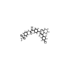 CCS(=O)(=O)c1ccc(CC(=O)Nc2ccc(C(=O)N(C)[C@@H](c3ccc(Cl)cc3)C3CCCCC3)cc2)cc1